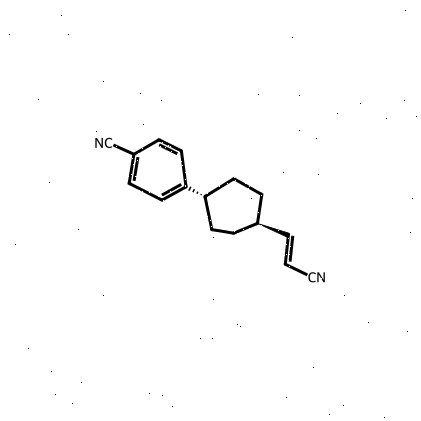 N#CC=C[C@H]1CC[C@H](c2ccc(C#N)cc2)CC1